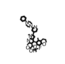 Cc1nc2c(cc(-c3ccnc(N4CCN(c5ccccc5)CC4)c3)n2C)c(-c2cc(F)c3c(c2C)CCCO3)c1[C@H](OC(C)(C)C)C(=O)O